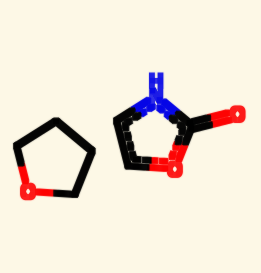 C1CCOC1.O=c1[nH]cco1